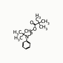 CC(C)(C)C(=O)OCCN(c1ccccc1)C(C)(C)C